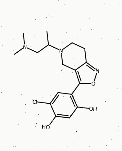 CC(CN(C)C)N1CCc2noc(-c3cc(Cl)c(O)cc3O)c2C1